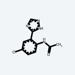 CC(=O)Nc1ccc(Cl)cc1-c1ncn[nH]1